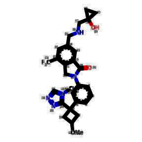 COC1CC(c2cccc(N3Cc4c(cc(CNCC5(O)CC5)cc4C(F)(F)F)C3=O)c2)(c2nncn2C)C1